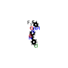 O=C(Nc1cccc(C(F)(F)F)c1)N1CCC2(CC1)CC(c1ccc(Cl)cc1)=NO2